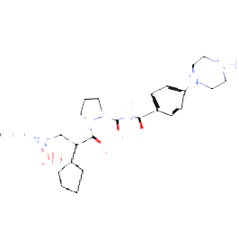 O=CN(O)CC(C(=O)N1CCC[C@H]1C(=O)NC(=O)c1ccc(N2CCNCC2)cc1)C1CCCC1